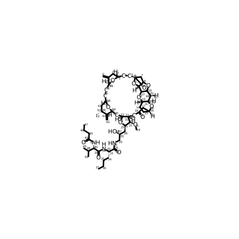 C=C1C[C@@H]2CC[C@@]34CC5OC6C(O[C@H]7CC[C@H](CC(=O)C[C@@H]8[C@@H](OC)[C@@H](C[C@H](O)CNC(=O)[C@H](CCCC)NC(=O)[C@@H](NC(=O)CCC)C(C)C)O[C@H]8C[C@H]8O[C@@H](CC[C@@H]1O2)C[C@@H](C)C8=C)O[C@@H]7[C@@H]6O3)[C@H]5O4